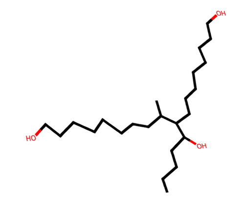 CCCCC(O)C(CCCCCCCCO)C(C)CCCCCCCCO